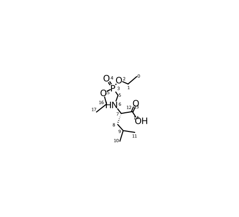 CCOP(=O)(CN[C@@H](CC(C)C)C(=O)O)OCC